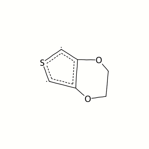 [c]1s[c]c2c1OCCO2